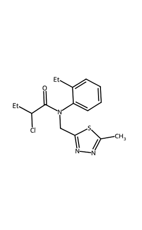 CCc1ccccc1N(Cc1nnc(C)s1)C(=O)C(Cl)CC